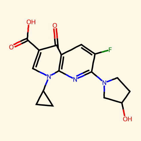 O=C(O)c1cn(C2CC2)c2nc(N3CCC(O)C3)c(F)cc2c1=O